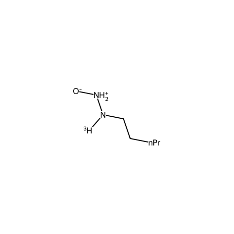 [3H]N(CCCCC)[NH2+][O-]